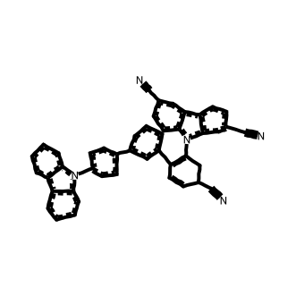 N#Cc1ccc2c(c1)c1ccc(C#N)cc1n2C1=C(c2cccc(-c3ccc(-n4c5ccccc5c5ccccc54)cc3)c2)C=CC(C#N)C1